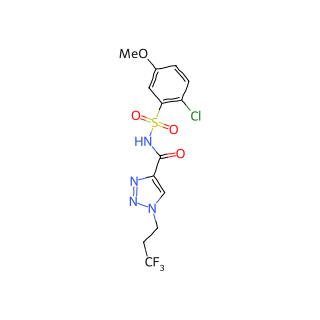 COc1ccc(Cl)c(S(=O)(=O)NC(=O)c2cn(CCC(F)(F)F)nn2)c1